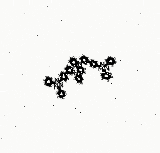 c1ccc(-c2nc(-c3ccccc3)nc(-c3ccc(-c4cccc(-n5c6ccccc6c6c5ccc5c7ccccc7n(-c7cccc(-c8ccc(-c9nc(-c%10ccccc%10)nc(-c%10ccccc%10)n9)cc8)c7)c56)c4)cc3)n2)cc1